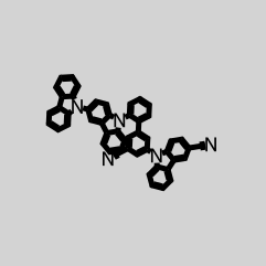 N#Cc1cc(-c2ccccc2-n2c3ccccc3c3cc(-n4c5ccccc5c5ccccc54)ccc32)cc(-n2c3ccccc3c3cc(C#N)ccc32)c1